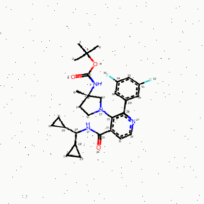 CC(C)(C)OC(=O)N[C@@]1(C)CCN(c2c(C(=O)NC(C3CC3)C3CC3)ccnc2-c2cc(F)cc(F)c2)C1